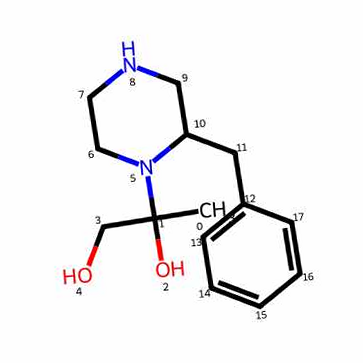 CC(O)(CO)N1CCNCC1Cc1ccccc1